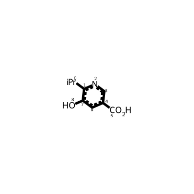 CC(C)c1ncc(C(=O)O)cc1O